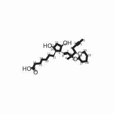 CC#CCCC(C)(/C=C/[C@@H]1[C@@H](CCCCCCC(=O)O)[C@@H](O)C[C@H]1O)OC1CCCCO1